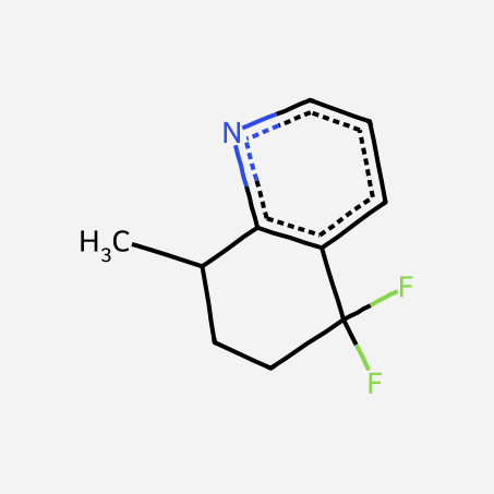 CC1CCC(F)(F)c2cccnc21